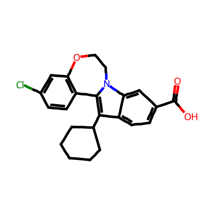 O=C(O)c1ccc2c(C3CCCCC3)c3n(c2c1)CCOc1cc(Cl)ccc1-3